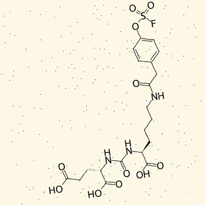 O=C(O)CC[C@H](NC(=O)N[C@@H](CCCCNC(=O)Cc1ccc(OS(=O)(=O)F)cc1)C(=O)O)C(=O)O